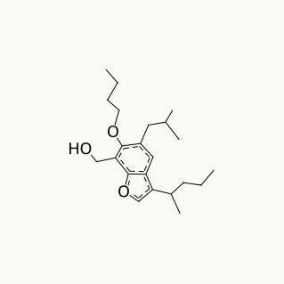 CCCCOc1c(CC(C)C)cc2c(C(C)CCC)coc2c1CO